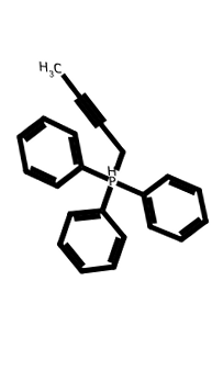 CC#CC[PH](c1ccccc1)(c1ccccc1)c1ccccc1